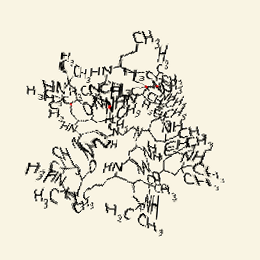 CCCC(NC1=NN(OC2CC(C)(C)NC(C)(C)C2)NC(N(CCN(C2=CC(NC(CCC)C3CC(C)(C)NC(C)(C)C3)=NN(OC3CC(C)(C)NC(C)(C)C3)N2)C2CC(C)(C)NC(C)(C)C2)CCN(C2=CC(NC(CCC)C3CC(C)(C)NC(C)(C)C3)=NN(OC3CC(C)(C)NC(C)(C)C3)N2)C2CC(C)(C)NC(C)(C)C2)=C1)C1CC(C)(C)NC(C)(C)C1